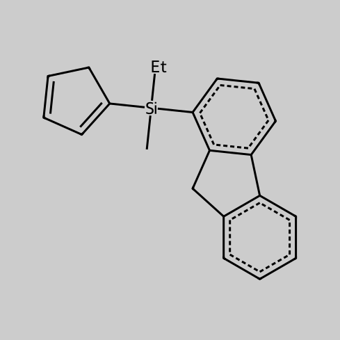 CC[Si](C)(C1=CC=CC1)c1cccc2c1Cc1ccccc1-2